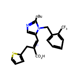 CCCCc1ncc(/C=C(\Cc2cccs2)C(=O)O)n1Cc1ccccc1C(F)(F)F